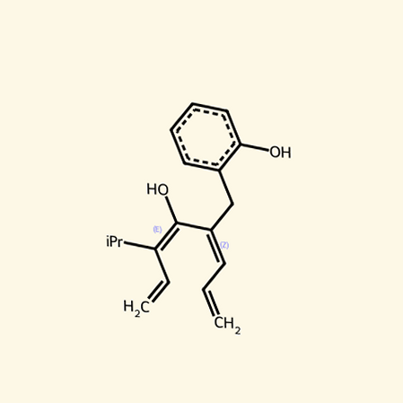 C=C/C=C(Cc1ccccc1O)\C(O)=C(/C=C)C(C)C